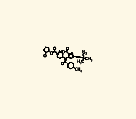 CC(C)(C)C#Cc1cc(N(C(=O)[C@H]2CC[C@H](C)CC2)C2CCN(C(=O)O[C@H]3CCCC3=O)CC2)c(C(=O)O)s1